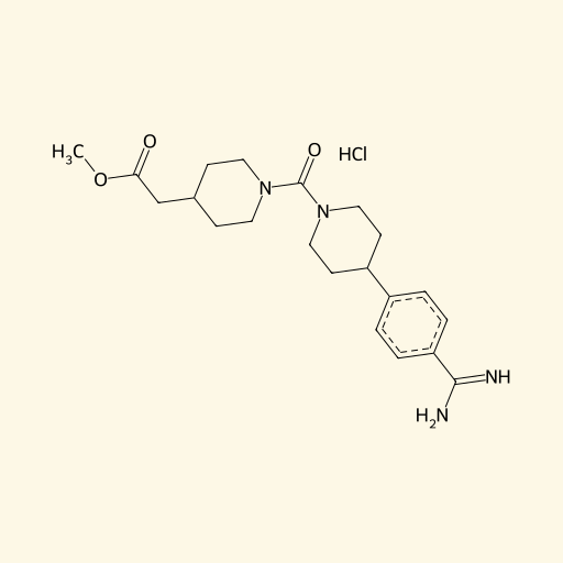 COC(=O)CC1CCN(C(=O)N2CCC(c3ccc(C(=N)N)cc3)CC2)CC1.Cl